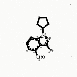 CCc1nn(C2CCCC2)c2cccc(C=O)c12